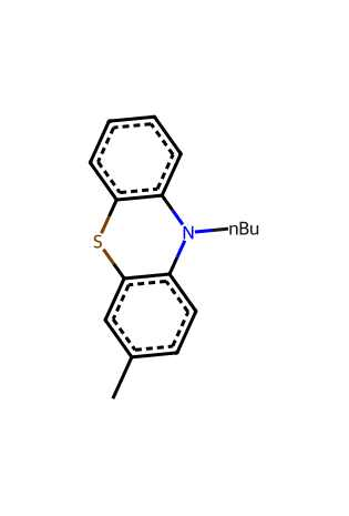 CCCCN1c2ccccc2Sc2cc(C)ccc21